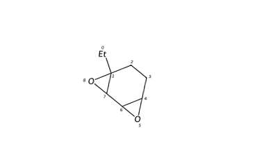 CCC12CCC3OC3C1O2